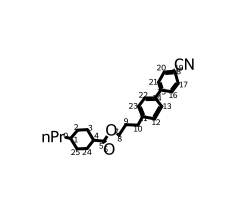 CCCC1CCC(C(=O)OCCCc2ccc(-c3ccc(C#N)cc3)cc2)CC1